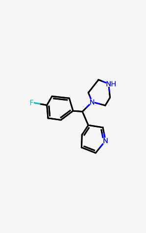 Fc1ccc(C(c2cccnc2)N2CCNCC2)cc1